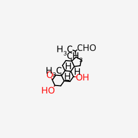 CC(C=O)[C@H]1CC[C@H]2[C@@H]3C(O)C=C4CC(O)C5OC5[C@]4(C)[C@H]3CC[C@]12C